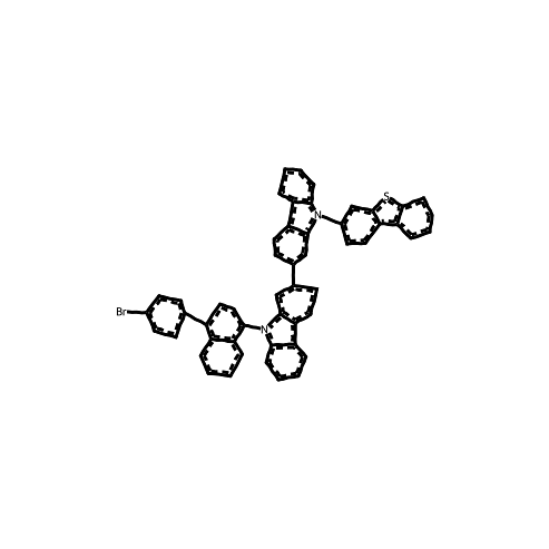 Brc1ccc(-c2ccc(-n3c4ccccc4c4ccc(-c5ccc6c7ccccc7n(-c7ccc8c(c7)sc7ccccc78)c6c5)cc43)c3ccccc23)cc1